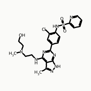 Cc1n[nH]c2nc(-c3ccc(NS(=O)(=O)c4ccccn4)c(Cl)c3)nc(NCCN(C)CCO)c12